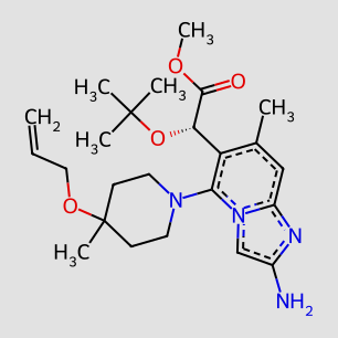 C=CCOC1(C)CCN(c2c([C@H](OC(C)(C)C)C(=O)OC)c(C)cc3nc(N)cn23)CC1